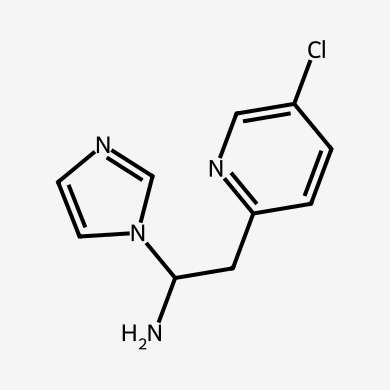 NC(Cc1ccc(Cl)cn1)n1ccnc1